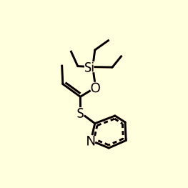 CC=C(O[Si](CC)(CC)CC)Sc1ccccn1